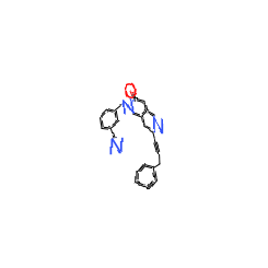 N#Cc1cccc(Cn2cc3cc(C#CCc4ccccc4)ncc3cc2=O)c1